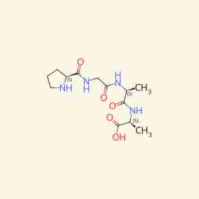 C[C@H](NC(=O)[C@H](C)NC(=O)CNC(=O)[C@@H]1CCCN1)C(=O)O